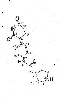 C[C@@H]1CNC[C@H](C)N1CC(=O)Nc1ccc(C2CCC(=O)NC2=O)cc1